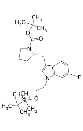 CC(C)(C)OC(=O)N1CCC[C@H]1Cc1cn(CCO[Si](C)(C)C(C)(C)C)c2cc(F)ccc12